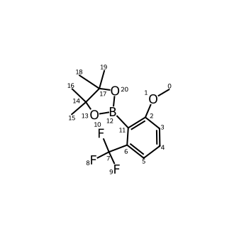 COc1cccc(C(F)(F)F)c1B1OC(C)(C)C(C)(C)O1